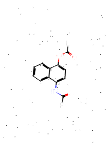 CCC(=O)Nc1ccc(OC(=O)CC)c2ccccc12